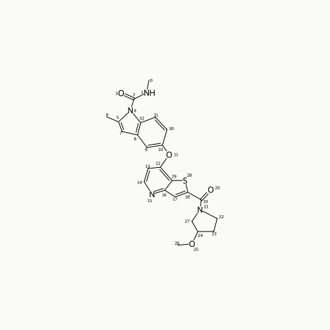 CNC(=O)n1c(C)cc2cc(Oc3ccnc4cc(C(=O)N5CCC(OC)C5)sc34)ccc21